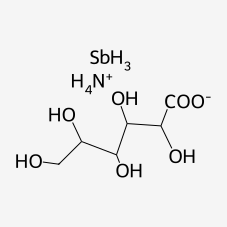 O=C([O-])C(O)C(O)C(O)C(O)CO.[NH4+].[SbH3]